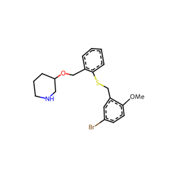 COc1ccc(Br)cc1CSc1ccccc1COC1CCCNC1